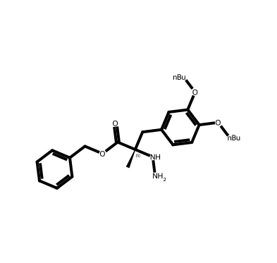 CCCCOc1ccc(C[C@](C)(NN)C(=O)OCc2ccccc2)cc1OCCCC